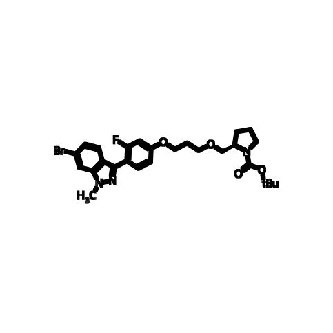 Cn1nc(-c2ccc(OCCCOC[C@H]3CCCN3C(=O)OC(C)(C)C)cc2F)c2ccc(Br)cc21